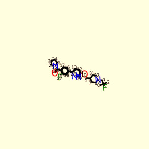 CC(C)(F)CN1CCC(COc2ccc(-c3ccc(C(=O)N4CCCC4)c(F)c3)nn2)CC1